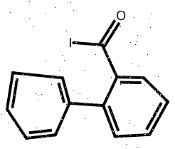 O=C(I)c1ccccc1-c1ccccc1